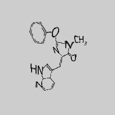 CN1C(=O)/C(=C/C2=CNC3N=CC=CC23)N=C1Oc1ccccc1